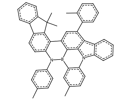 Cc1ccc(N2B3c4cc(C)ccc4-n4c5ccccc5c5c(-c6ccccc6C)cc(c3c54)-c3c2ccc2c3C(C)(C)c3ccccc3-2)cc1